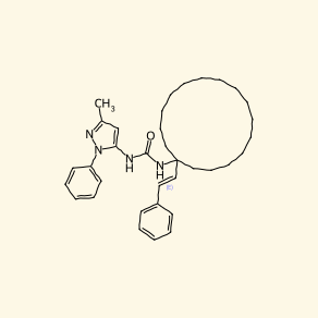 Cc1cc(NC(=O)NC2(/C=C/c3ccccc3)CCCCCCCCCCCCCCC2)n(-c2ccccc2)n1